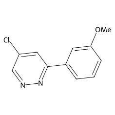 COc1cccc(-c2cc(Cl)cnn2)c1